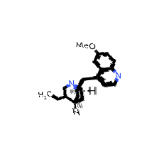 C=CC1CN2CC[C@H]1C[C@@H]2Cc1ccnc2ccc(OC)cc12